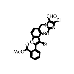 CCCCc1nc(Cl)c(C=O)n1Cc1ccc2oc(-c3ccccc3C(=O)OC)c(Br)c2c1